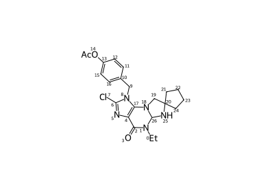 CCN1C(=O)c2nc(Cl)n(Cc3ccc(OC(C)=O)cc3)c2N2CC3(CCCC3)NC12